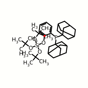 CC(C)(C)O[Si](Oc1ccccc1P(C12CC3CC(CC(C3)C1)C2)C12CC3CC(CC(C3)C1)C2)(OC(C)(C)C)OC(C)(C)C